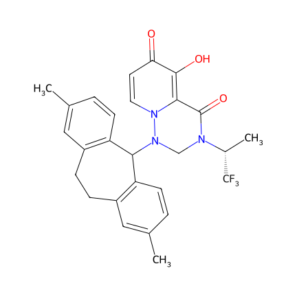 Cc1ccc2c(c1)CCc1cc(C)ccc1C2N1CN([C@H](C)C(F)(F)F)C(=O)c2c(O)c(=O)ccn21